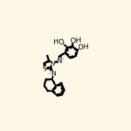 Cc1cs/c(=N\C2CCCc3ccccc32)n1/N=C/c1ccc(O)c(O)c1O